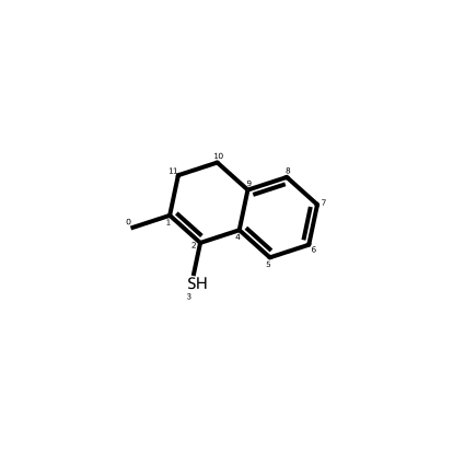 CC1=C(S)c2ccccc2CC1